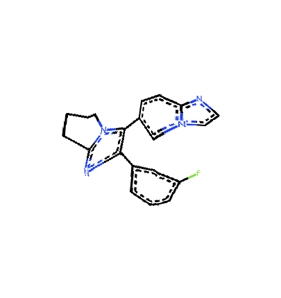 Fc1cccc(-c2nc3n(c2-c2ccc4nccn4c2)CCC3)c1